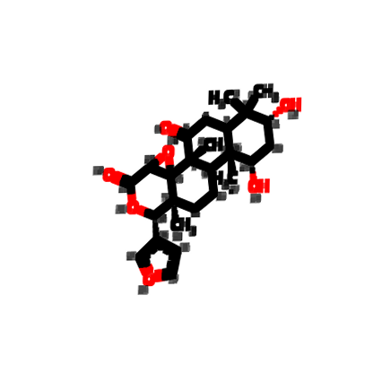 CC1(C)C2CC(=O)[C@]3(C)C(CC[C@@]4(C)[C@H](c5ccoc5)OC(=O)C5OC543)[C@@]2(C)[C@@H](O)C[C@H]1O